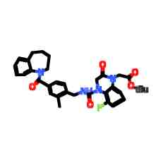 Cc1cc(C(=O)N2CCCCc3ccccc32)ccc1CNC(=O)N1CC(=O)N(CC(=O)OC(C)(C)C)c2cccc(F)c21